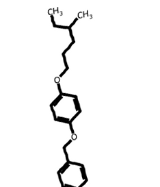 CCC(C)CCCOc1ccc(OCc2ccccc2)cc1